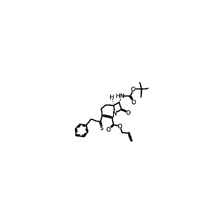 C=CCOC(=O)C1=C(C(=S)Cc2ccccc2)CC[C@H]2[C@H](NC(=O)OC(C)(C)C)C(=O)N12